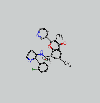 Cc1cc([C@@H](C)Nc2cccnc2-c2c(F)cccc2F)c2oc(-c3cccnc3)c(C)c(=O)c2c1